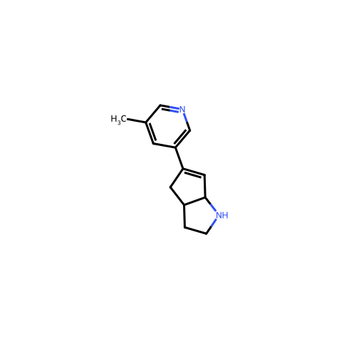 Cc1cncc(C2=CC3NCCC3C2)c1